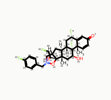 C[C@]12C=CC(=O)C=C1[C@@H](F)C[C@H]1[C@@H]3C[C@H]4CN(Cc5ccc(F)cc5)O[C@@]4(C(=O)CF)[C@@]3(C)C[C@H](O)[C@@]12F